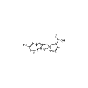 CC1(Cn2cc3cc(Cl)cnc3n2)C=C(C(=O)O)C=CN1